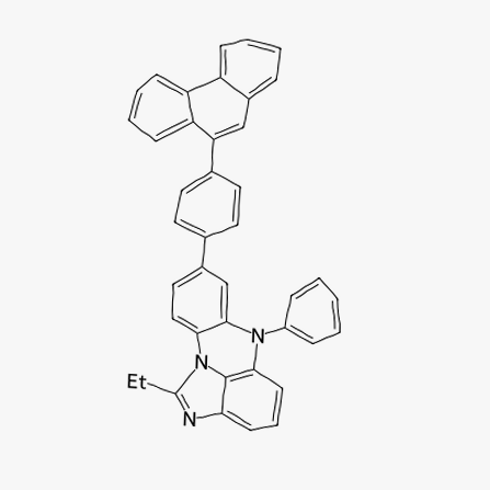 CCc1nc2cccc3c2n1-c1ccc(-c2ccc(-c4cc5ccccc5c5ccccc45)cc2)cc1N3c1ccccc1